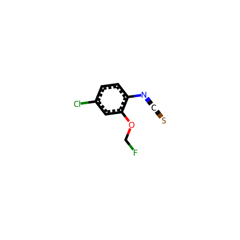 FCOc1cc(Cl)ccc1N=C=S